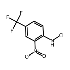 O=[N+]([O-])c1cc(C(F)(F)F)ccc1NCl